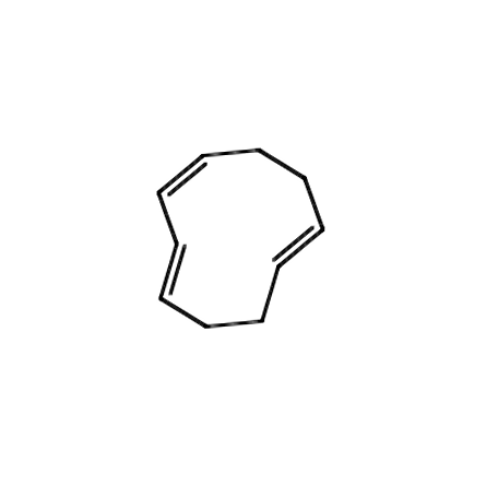 C1=C\CC/C=C/CC/C=C/1